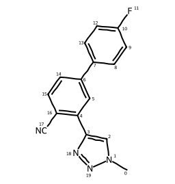 Cn1cc(-c2cc(-c3ccc(F)cc3)ccc2C#N)nn1